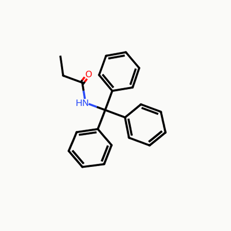 CCC(=O)NC(c1ccccc1)(c1ccccc1)c1ccccc1